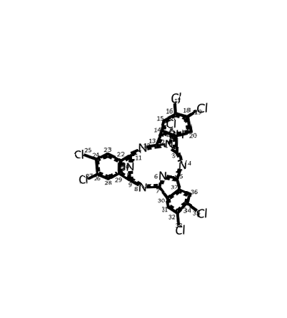 ClBn1c2nc3nc(nc4[nH]c(nc1c1cc(Cl)c(Cl)cc12)c1cc(Cl)c(Cl)cc41)-c1cc(Cl)c(Cl)cc1-3